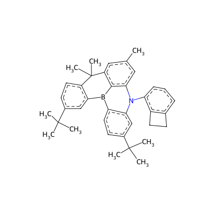 Cc1cc2c3c(c1)C(C)(C)c1ccc(C(C)(C)C)cc1B3c1ccc(C(C)(C)C)cc1N2c1cccc2c1CC2